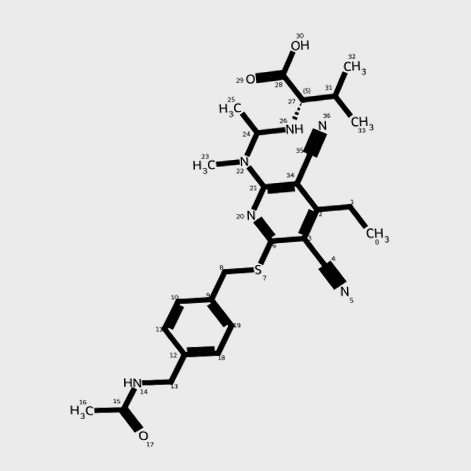 CCc1c(C#N)c(SCc2ccc(CNC(C)=O)cc2)nc(N(C)C(C)N[C@H](C(=O)O)C(C)C)c1C#N